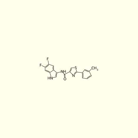 Cc1cccc(-c2nc(C(=O)Nc3c[nH]c4cc(F)c(F)cc34)cs2)c1